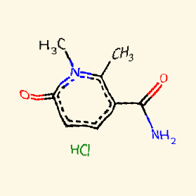 Cc1c(C(N)=O)ccc(=O)n1C.Cl